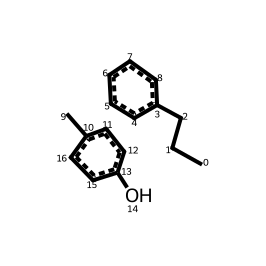 CCCc1ccccc1.Cc1ccc(O)cc1